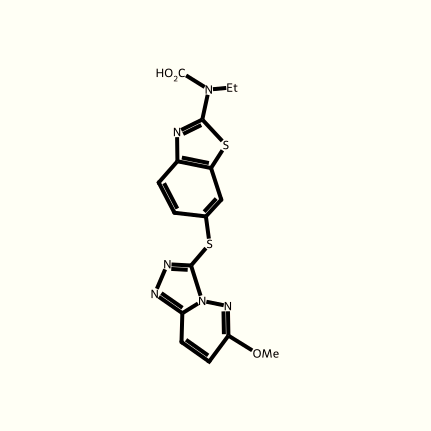 CCN(C(=O)O)c1nc2ccc(Sc3nnc4ccc(OC)nn34)cc2s1